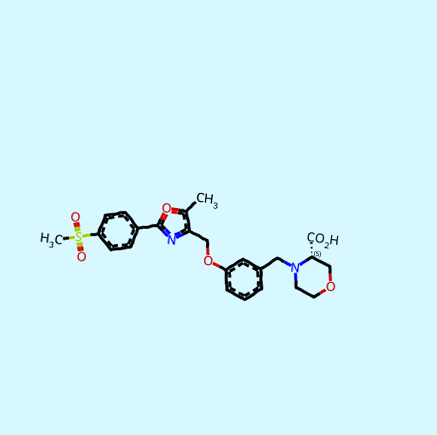 Cc1oc(-c2ccc(S(C)(=O)=O)cc2)nc1COc1cccc(CN2CCOC[C@H]2C(=O)O)c1